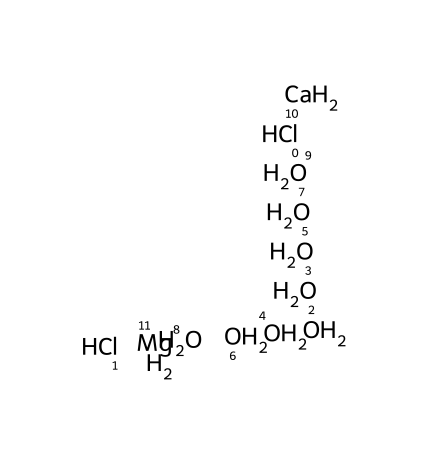 Cl.Cl.O.O.O.O.O.O.O.O.[CaH2].[MgH2]